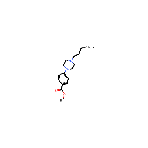 CCCCOC(=O)c1ccc(N2CCN(CCCS(=O)(=O)O)CC2)cc1